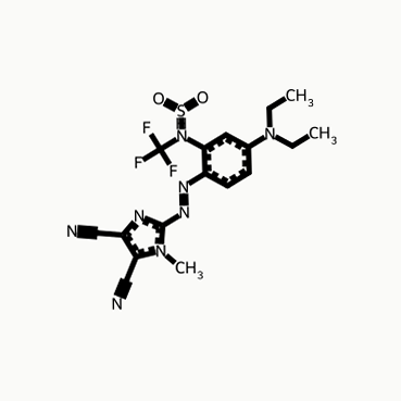 CCN(CC)c1ccc(N=Nc2nc(C#N)c(C#N)n2C)c(N([SH](=O)=O)C(F)(F)F)c1